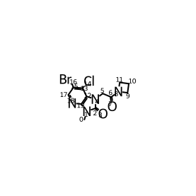 Cn1c(=O)n(CC(=O)N2CCC2)c2c(Cl)c(Br)cnc21